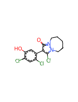 O=c1c(-c2cc(O)c(Cl)cc2Cl)c(Cl)n2n1CCCCC2